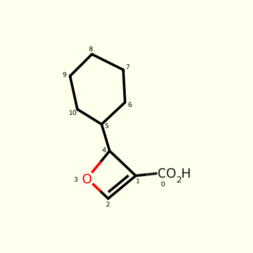 O=C(O)C1=COC1C1CCCCC1